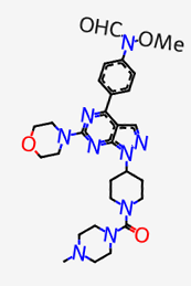 CON(C=O)c1ccc(-c2nc(N3CCOCC3)nc3c2cnn3C2CCN(C(=O)N3CCN(C)CC3)CC2)cc1